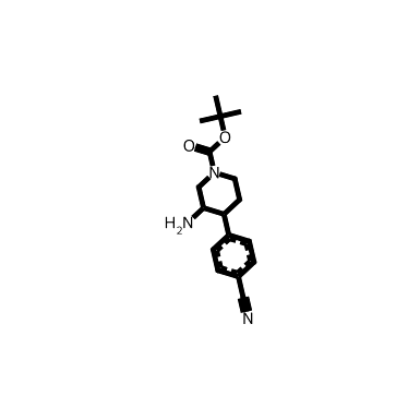 CC(C)(C)OC(=O)N1CCC(c2ccc(C#N)cc2)C(N)C1